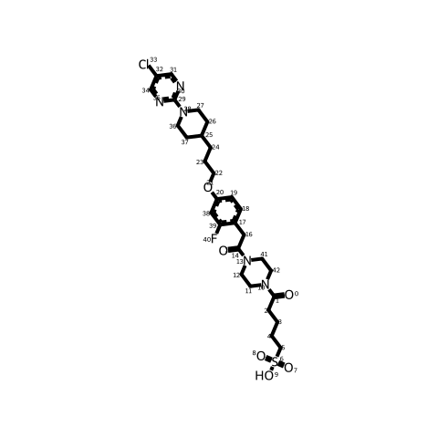 O=C(CCCCS(=O)(=O)O)N1CCN(C(=O)Cc2ccc(OCCCC3CCN(c4ncc(Cl)cn4)CC3)cc2F)CC1